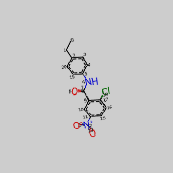 CCc1ccc(NC(=O)c2cc([N+](=O)[O-])ccc2Cl)cc1